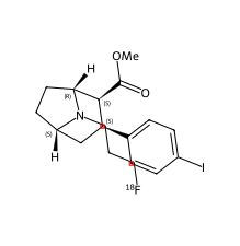 COC(=O)[C@H]1[C@@H](c2ccc(I)cc2)C[C@@H]2CC[C@H]1N2CCC[18F]